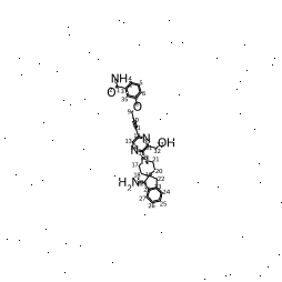 NC(=O)c1cccc(OCC#Cc2cnc(N3CCC4(CC3)Cc3ccccc3[C@H]4N)c(CO)n2)c1